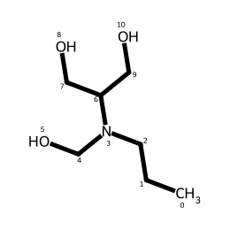 CCCN(CO)C(CO)CO